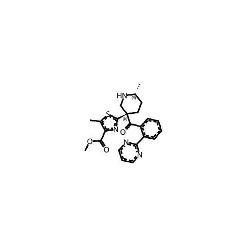 COC(=O)c1nc([C@]2(C(=O)c3ccccc3-c3ncccn3)CC[C@@H](C)NC2)sc1C